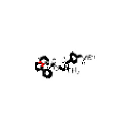 CN(CCOC(=O)N(c1ccccc1-c1ccccc1)N1CC[CH]CC1)C(=O)c1ccc(CNC(C)(C)C)cc1